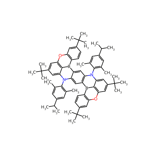 Cc1cc(C(C)C)cc(C)c1N1c2cc3c(cc2B2c4ccc(C(C)(C)C)cc4Oc4cc(C(C)(C)C)cc1c42)N(c1c(C)cc(C(C)C)cc1C)c1cc(C(C)(C)C)cc2c1B3c1ccc(C(C)(C)C)cc1O2